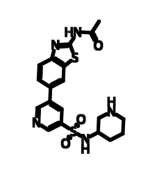 CC(=O)Nc1nc2ccc(-c3cncc(S(=O)(=O)NC4CCCNC4)c3)cc2s1